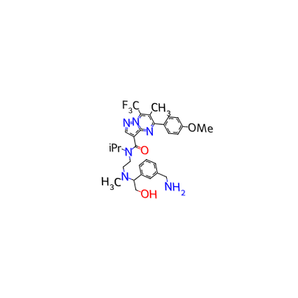 COc1ccc(-c2nc3c(C(=O)N(CCN(C)C(CO)c4cccc(CN)c4)C(C)C)cnn3c(C(F)(F)F)c2C)cc1